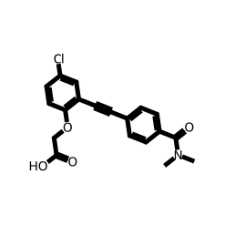 CN(C)C(=O)c1ccc(C#Cc2cc(Cl)ccc2OCC(=O)O)cc1